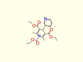 CCOC(=O)C1=C(C)N(C(=O)OCC)C(C)=C(C(=O)OCC)C1c1cccnc1